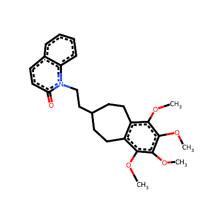 COc1c2c(c(OC)c(OC)c1OC)CCC(CCn1c(=O)ccc3ccccc31)CC2